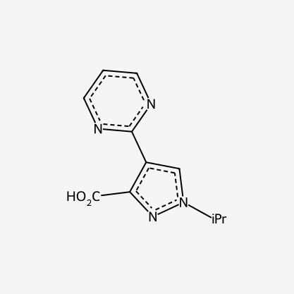 CC(C)n1cc(-c2ncccn2)c(C(=O)O)n1